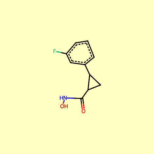 O=C(NO)C1CC1c1cccc(F)c1